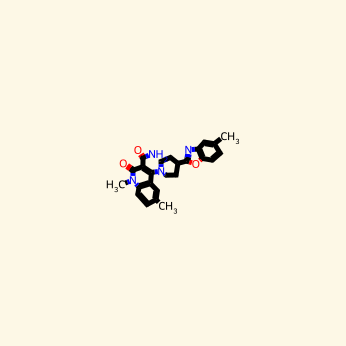 Cc1ccc2oc(C3CCN(c4c(C(N)=O)c(=O)n(C)c5ccc(C)cc45)CC3)nc2c1